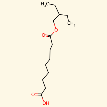 CCC(CC)COC(=O)CCCCCCCC(=O)O